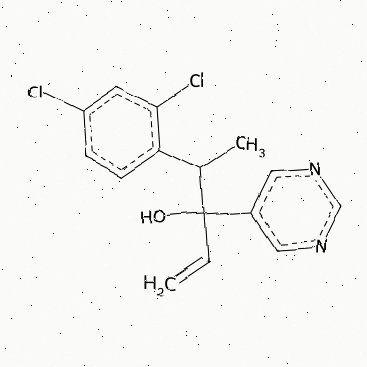 C=CC(O)(c1cncnc1)C(C)c1ccc(Cl)cc1Cl